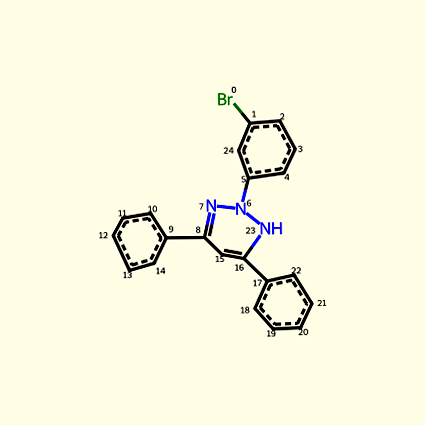 Brc1cccc(N2N=C(c3ccccc3)C=C(c3ccccc3)N2)c1